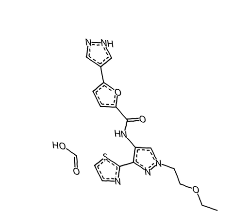 CCOCCn1cc(NC(=O)c2ccc(-c3cn[nH]c3)o2)c(-c2nccs2)n1.O=CO